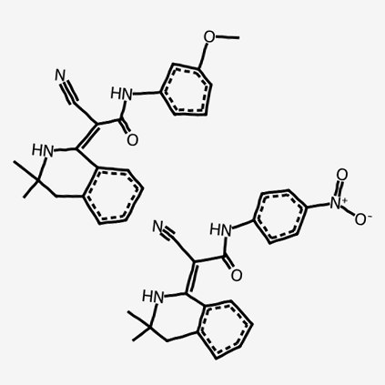 CC1(C)Cc2ccccc2C(=C(C#N)C(=O)Nc2ccc([N+](=O)[O-])cc2)N1.COc1cccc(NC(=O)C(C#N)=C2NC(C)(C)Cc3ccccc32)c1